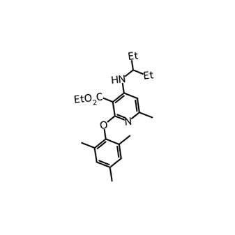 CCOC(=O)c1c(NC(CC)CC)cc(C)nc1Oc1c(C)cc(C)cc1C